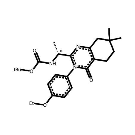 CCOc1ccc(-n2c([C@@H](C)NC(=O)OC(C)(C)C)nc3c(c2=O)CCC(C)(C)C3)cc1